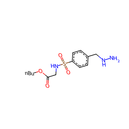 CCCCOC(=O)CNS(=O)(=O)c1ccc(CNN)cc1